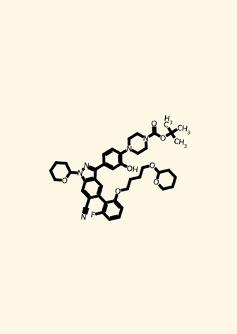 CC(C)(C)OC(=O)N1CCN(c2ccc(-c3nn(C4CCCCO4)c4cc(C#N)c(-c5c(F)cccc5OCCCCOC5CCCCO5)cc34)cc2O)CC1